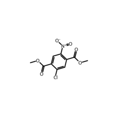 COC(=O)c1cc([N+](=O)[O-])c(C(=O)OC)cc1Cl